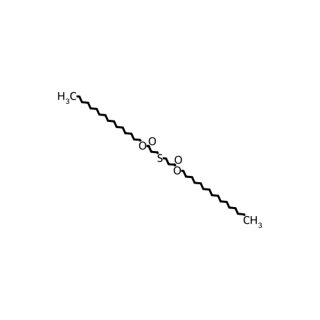 CCCCCCCCCCCCCCCCOC(=O)CCSCCC(=O)OCCCCCCCCCCCCCCCC